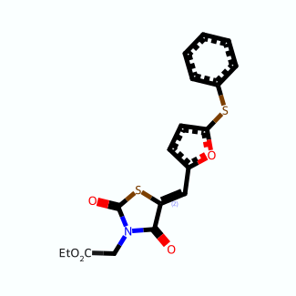 CCOC(=O)CN1C(=O)S/C(=C\c2ccc(Sc3ccccc3)o2)C1=O